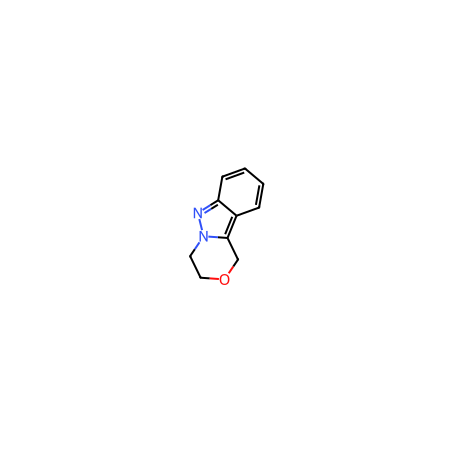 c1ccc2c3n(nc2c1)CCOC3